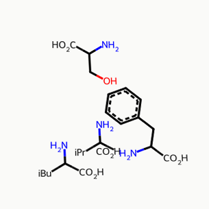 CC(C)C(N)C(=O)O.CCC(C)C(N)C(=O)O.NC(CO)C(=O)O.NC(Cc1ccccc1)C(=O)O